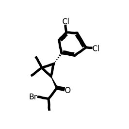 CC(Br)C(=O)[C@@H]1[C@@H](c2cc(Cl)cc(Cl)c2)C1(C)C